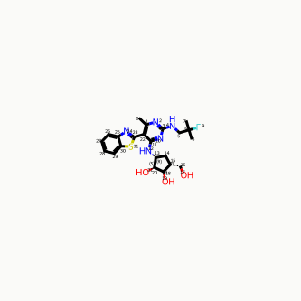 Cc1nc(NCC(C)(C)F)nc(N[C@@H]2C[C@H](CO)[C@@H](O)[C@H]2O)c1-c1nc2ccccc2s1